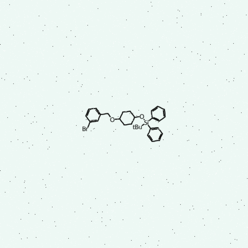 CC(C)(C)[Si](OC1CCC(OCc2cccc(Br)c2)CC1)(c1ccccc1)c1ccccc1